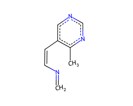 C=N/C=C\c1cncnc1C